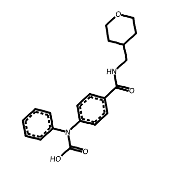 O=C(NCC1CCOCC1)c1ccc(N(C(=O)O)c2ccccc2)cc1